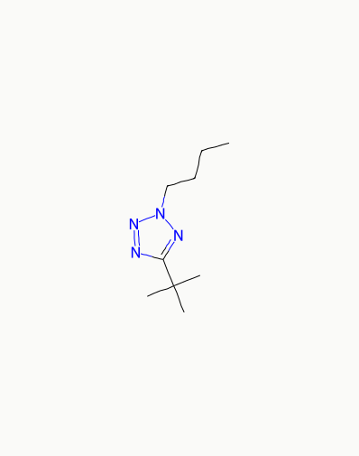 CCCCn1nnc(C(C)(C)C)n1